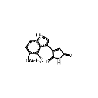 COc1ccc2[nH]cc(C3=CC(=O)NC3=O)c2c1C